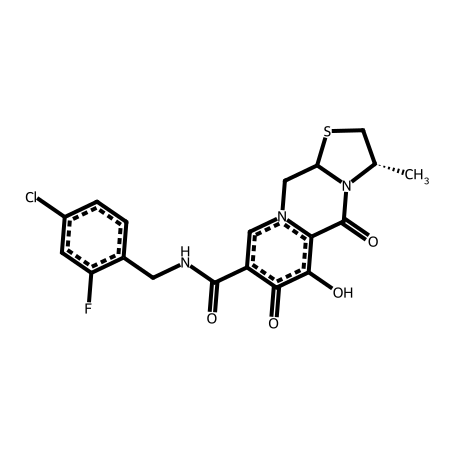 C[C@H]1CSC2Cn3cc(C(=O)NCc4ccc(Cl)cc4F)c(=O)c(O)c3C(=O)N21